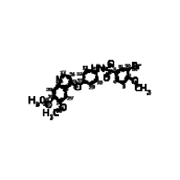 COc1ccc(S(=O)(=O)Nc2ccc(Oc3ccnc4cc(OC)c(OC)cc34)cc2)cc1Br